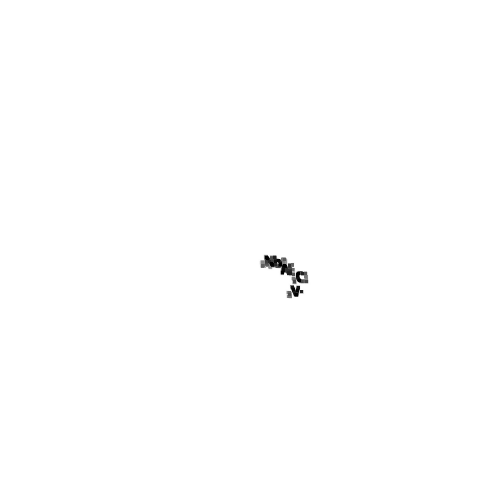 [Al].[C].[Nb].[V]